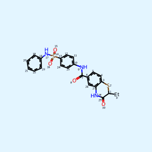 CCC1Sc2ccc(C(=O)Nc3ccc(S(=O)(=O)Nc4ccccc4)cc3)cc2NC1=O